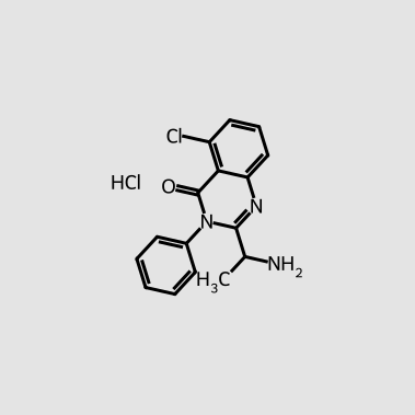 CC(N)c1nc2cccc(Cl)c2c(=O)n1-c1ccccc1.Cl